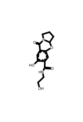 O=C(NCCO)c1cc2c(cc1O)C(=O)N1CCCC1O2